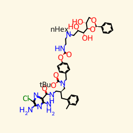 CCCCCCN(CCNC(=O)Oc1ccc(CN(C[C@H](CNC(=O)c2nc(Cl)c(N)nc2N)Cc2ccccc2C)C(=O)OC(C)(C)C)cc1)C[C@H](O)[C@@H](O)[C@@H]1O[C@H](c2ccccc2)OC[C@H]1O